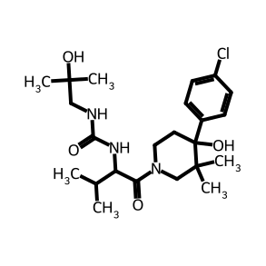 CC(C)C(NC(=O)NCC(C)(C)O)C(=O)N1CCC(O)(c2ccc(Cl)cc2)C(C)(C)C1